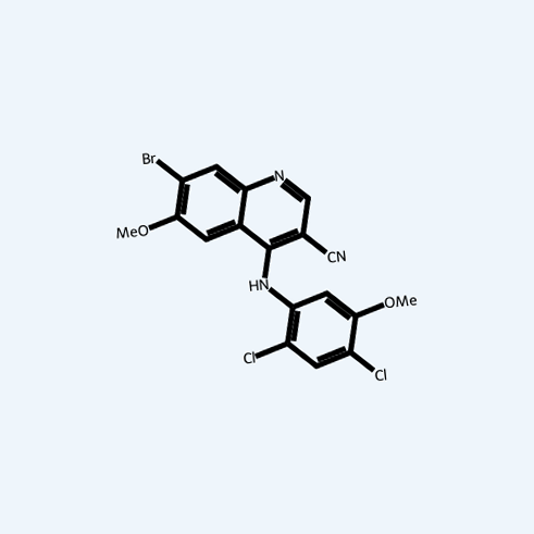 COc1cc(Nc2c(C#N)cnc3cc(Br)c(OC)cc23)c(Cl)cc1Cl